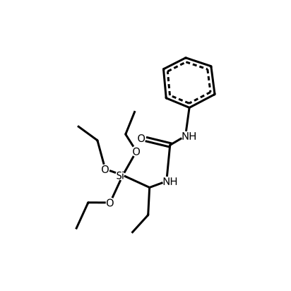 CCO[Si](OCC)(OCC)C(CC)NC(=O)Nc1ccccc1